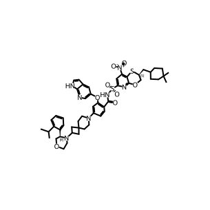 CC(C)c1ccccc1[C@@H]1COCCN1C1CC2(CCN(c3ccc(C(=O)NS(=O)(=O)c4cc([N+](=O)[O-])c5c(n4)OC[C@H](CC4CCC(C)(C)CC4)S5)c(Oc4cnc5[nH]ccc5c4)c3)CC2)C1